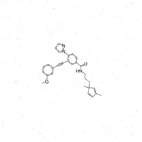 COc1cccc(C#Cc2cc(C(=O)NCCCC3(C)C=CC(C)=C3)ccc2-n2cccn2)c1